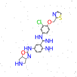 CNc1ccc(NC2=NC3CNCC3O2)cc1C(=N)Nc1ccc(OCc2nccs2)c(Cl)c1